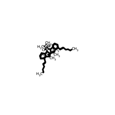 CCCCC=Cc1cccc2c1C=C(C(C)C)[CH]2[Zr]([Cl])([Cl])([CH]1C(C(C)C)=Cc2c(C=CCCCC)cccc21)[SiH](C)C